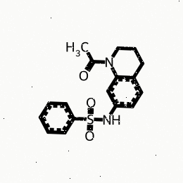 CC(=O)N1CCCc2ccc(NS(=O)(=O)c3ccccc3)cc21